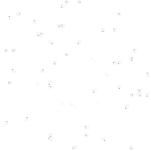 Cc1nc(-c2cccc(F)c2)ncc1OC(=O)Nn1cc(C#N)c2cc(F)ccc21